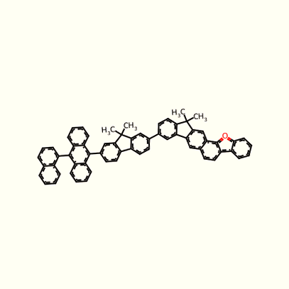 CC1(C)c2cc(-c3ccc4c(c3)-c3cc5ccc6c7ccccc7oc6c5cc3C4(C)C)ccc2-c2ccc(-c3c4ccccc4c(-c4cccc5ccccc45)c4ccccc34)cc21